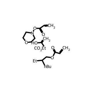 C=C(O)C(=O)OCC.C=CC(=O)OCC(CC)CCCC.C=CC(=O)ON1CCOCC1